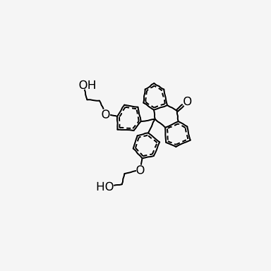 O=C1c2ccccc2C(c2ccc(OCCO)cc2)(c2ccc(OCCO)cc2)c2ccccc21